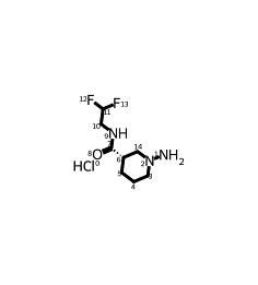 Cl.NN1CCC[C@H](C(=O)NCC(F)F)C1